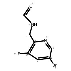 O=CNCc1ncc(Br)cc1F